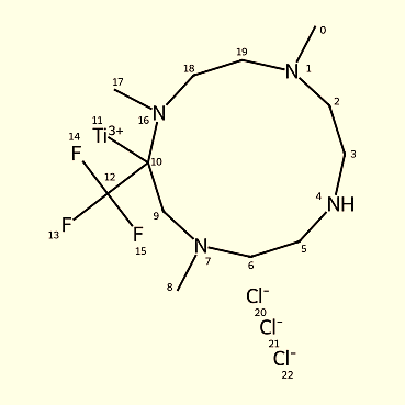 CN1CCNCCN(C)C[C]([Ti+3])(C(F)(F)F)N(C)CC1.[Cl-].[Cl-].[Cl-]